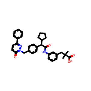 CC(C)(Cc1cccc(NC(=O)C(c2ccc(Cn3nc(-c4ccccc4)ccc3=O)cc2)C2CCCC2)c1)C(=O)O